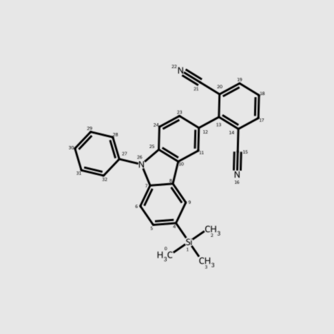 C[Si](C)(C)c1ccc2c(c1)c1cc(-c3c(C#N)cccc3C#N)ccc1n2-c1ccccc1